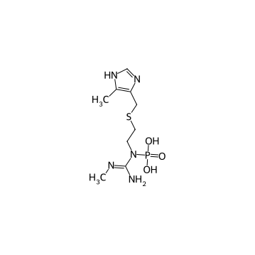 CN=C(N)N(CCSCc1nc[nH]c1C)P(=O)(O)O